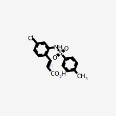 Cc1ccc(S(=O)(=O)Nc2cc(Cl)ccc2/C=C/C(=O)O)cc1